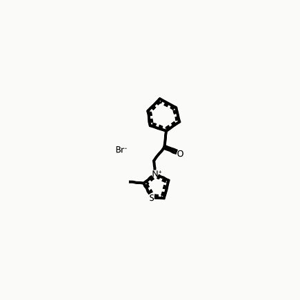 Cc1scc[n+]1CC(=O)c1ccccc1.[Br-]